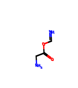 N=COC(=O)CN